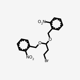 O=[N+]([O-])c1ccccc1COC(CCBr)OCc1ccccc1[N+](=O)[O-]